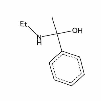 CCNC(C)(O)c1ccccc1